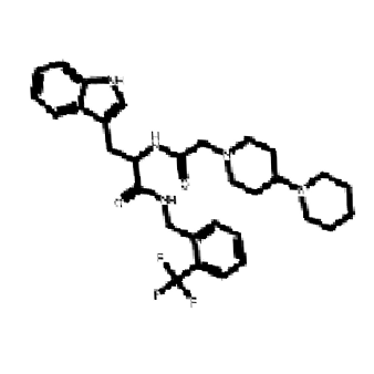 O=C(CN1CCC(N2CCCCC2)CC1)NC(Cc1c[nH]c2ccccc12)C(=O)NCc1ccccc1C(F)(F)F